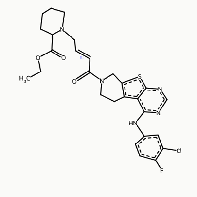 CCOC(=O)C1CCCCN1C/C=C/C(=O)N1CCc2c(sc3ncnc(Nc4ccc(F)c(Cl)c4)c23)C1